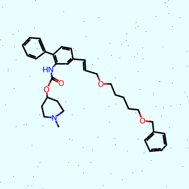 CN1CCC(OC(=O)Nc2cc(C=CCOCCCCCOCc3ccccc3)ccc2-c2ccccc2)CC1